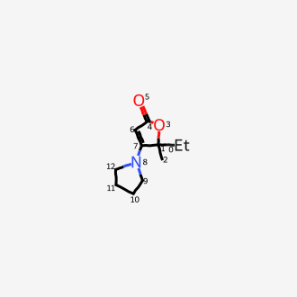 CCC1(C)OC(=O)C=C1N1CCCC1